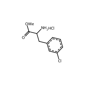 COC(=O)C(N)Cc1cccc(Cl)c1.Cl